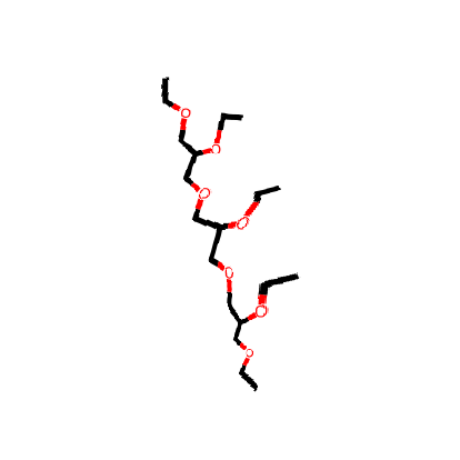 CCOCC(COCC(COCC(COCC)OCC)OCC)OCC